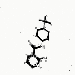 CC(C)(C)[C@H]1CC[C@H](NC(=O)c2cccnc2Cl)CC1